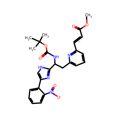 COC(=O)/C=C/c1cccc(CC(NC(=O)OC(C)(C)C)c2nc(-c3ccccc3[N+](=O)[O-])c[nH]2)n1